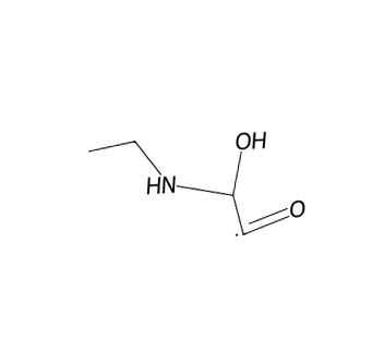 CCNC(O)[C]=O